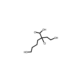 OCCCCC(Cl)(CCO)C(O)Cl